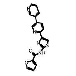 O=C(Nc1nc(-c2ccc(-c3cccnc3)cn2)cs1)c1ccco1